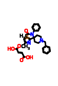 CC(=O)N(c1ccccc1)C1(c2nc(C)cs2)CCN(Cc2ccccc2)CC1.O=C(O)C=CC(=O)O